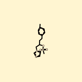 Cc1ccc(CCC(Cn2ccnc2)OS(C)(=O)=O)cc1